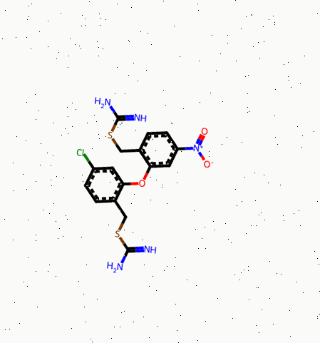 N=C(N)SCc1ccc(Cl)cc1Oc1cc([N+](=O)[O-])ccc1CSC(=N)N